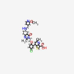 COc1cc(CNC2CCc3nc(C)n(CCOc4ccc(Cl)cc4-c4cc(C)nc5c(C(=O)O)csc45)c(=O)c3C2)ccn1